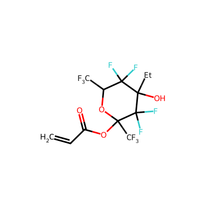 C=CC(=O)OC1(C(F)(F)F)OC(C(F)(F)F)C(F)(F)C(O)(CC)C1(F)F